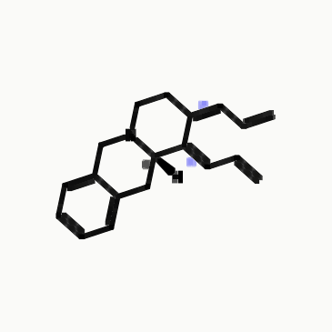 C=C/C=C1/CCN2Cc3ccccc3C[C@H]2/C1=C/C=C